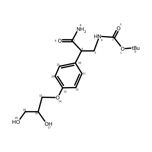 CC(C)(C)OC(=O)NCC(C(N)=O)c1ccc(OCC(O)CO)cc1